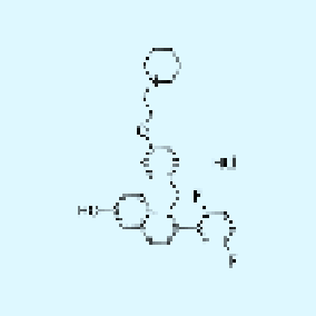 Cl.Oc1ccc2c(Cc3ccc(OCCN4CCCCC4)cc3)c(-c3cc(F)ccc3F)ccc2c1